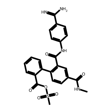 CNC(=O)c1ccc(-c2ccccc2C(=O)OS(C)(=O)=O)c(C(=O)Nc2ccc(C(=N)N)cc2)c1